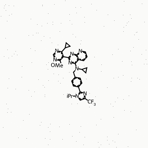 COc1ncnc(C2CC2)c1-c1nc(N(Cc2ccc(-c3nc(C(F)(F)F)cn3C(C)C)cc2)C2CC2)c2cccnc2n1